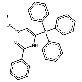 CCSC=C(NC(=O)c1ccccc1)[P+](c1ccccc1)(c1ccccc1)c1ccccc1.[I-]